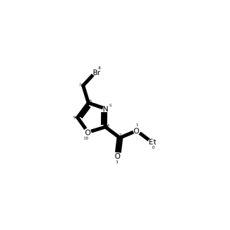 CCOC(=O)c1nc(CBr)co1